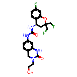 O=C(Nc1ccc2c(c1)NC(=O)N(CCO)C2)N[C@@H]1CC(CF)(CF)Oc2cc(F)ccc21